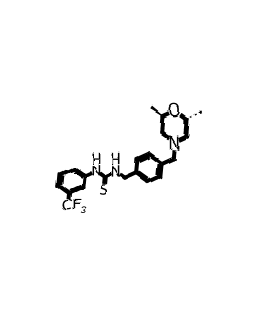 C[C@@H]1CN(Cc2ccc(CNC(=S)Nc3cccc(C(F)(F)F)c3)cc2)C[C@@H](C)O1